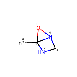 CCCC12NCN1O2